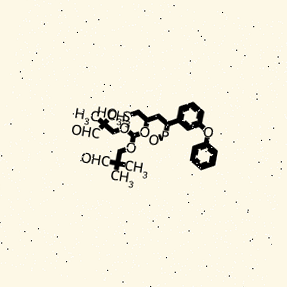 CC(C)(C=O)COC(OCC(C)(C)C=O)OC(CC(P=O)c1cccc(Oc2ccccc2)c1)CS(=O)(=O)O